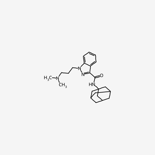 CN(C)CCCn1nc(C(=O)NC23CC4CC(CC(C4)C2)C3)c2ccccc21